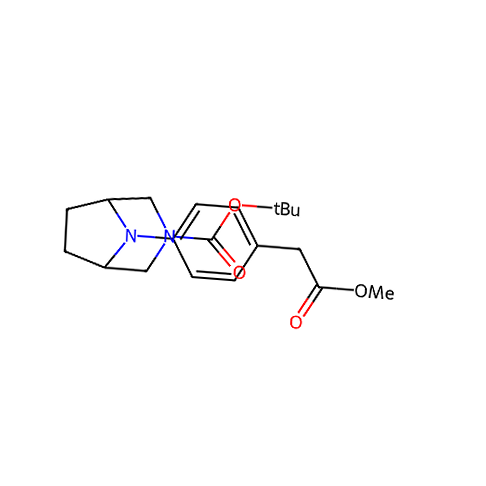 COC(=O)Cc1ccc(N2C3CCC2CN(C(=O)OC(C)(C)C)C3)cc1